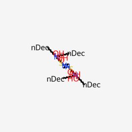 CCCCCCCCCCCCCCCCC(O)CN(CCCC(=O)SCCN1CC(C)N(CCSC(=O)CCCN(CC(O)CCCCCCCCCCCCCCCC)CC(O)CCCCCCCCCCCCCCCC)CC1C)CC(O)CCCCCCCCCCCCCCCC